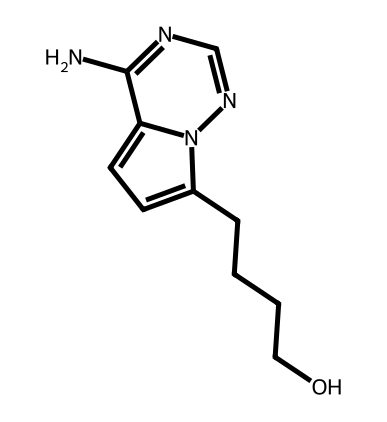 Nc1ncnn2c(CCCCO)ccc12